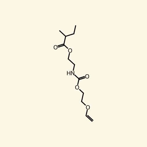 C=COCCOC(=O)NCCOC(=O)C(C)CC